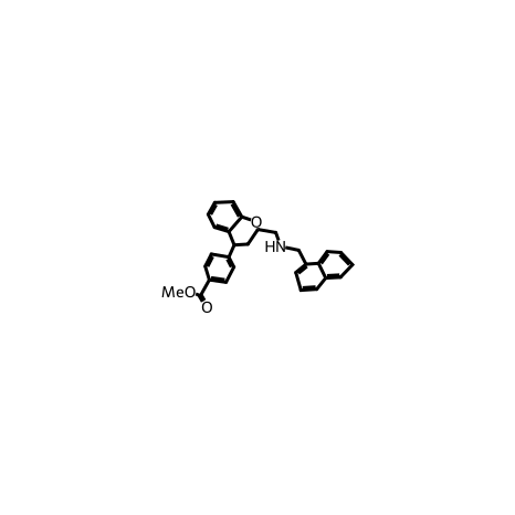 COC(=O)c1ccc(C2CC(CNCc3cccc4ccccc34)Oc3ccccc32)cc1